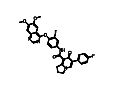 COc1cc2ncnc(Oc3ccc(NC(=O)c4c5n(cc(-c6ccc(F)cc6)c4=O)CCC5)cc3F)c2cc1OC